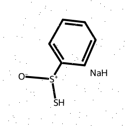 [NaH].[O-][S+](S)c1ccccc1